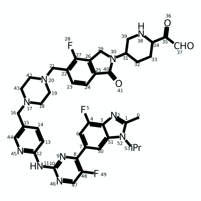 Cc1nc2c(F)cc(-c3nc(Nc4ccc(CN5CCN(Cc6ccc7c(c6F)CN(C6CCC(C(=O)C=O)NC6)C7=O)CC5)cn4)ncc3F)cc2n1C(C)C